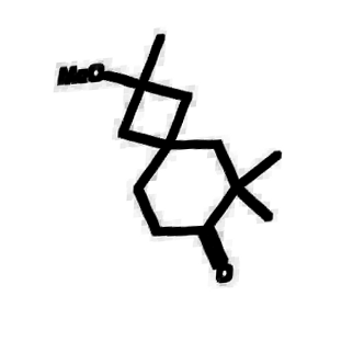 COC1(C)CC2(CCC(=O)C(C)(C)C2)C1